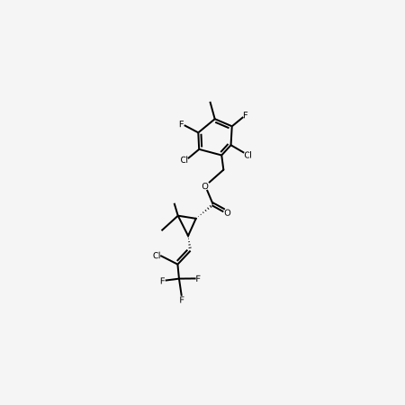 Cc1c(F)c(Cl)c(COC(=O)[C@@H]2[C@H](/C=C(\Cl)C(F)(F)F)C2(C)C)c(Cl)c1F